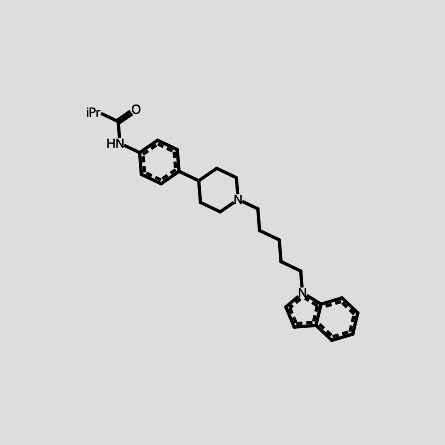 CC(C)C(=O)Nc1ccc(C2CCN(CCCCCn3ccc4ccccc43)CC2)cc1